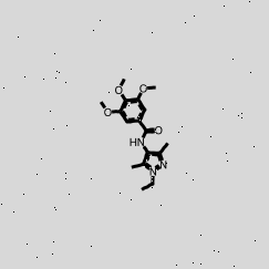 CCn1nc(C)c(NC(=O)c2cc(OC)c(OC)c(OC)c2)c1C